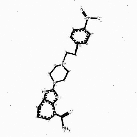 NC(=O)c1cccc2[nH]c(N3CCN(CCc4ccc([N+](=O)[O-])cc4)CC3)nc12